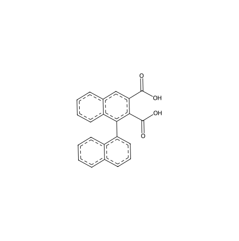 O=C(O)c1cc2ccccc2c(-c2cccc3ccccc23)c1C(=O)O